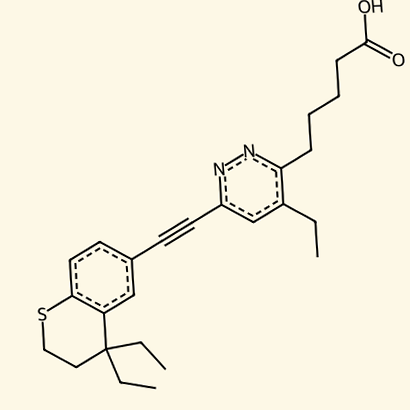 CCc1cc(C#Cc2ccc3c(c2)C(CC)(CC)CCS3)nnc1CCCCC(=O)O